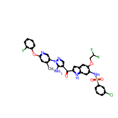 Cc1cc(Oc2ccccc2F)ncc1-n1ncc(C(=O)c2cc3cc(OCC(F)F)c(NS(=O)(=O)c4cccc(Cl)c4)cc3[nH]2)c1N